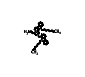 CCCCCCCCn1c2ccccc2c2ccnc(CN(CCCCN)Cc3nccc4c5ccccc5n(CCCCCCCC)c34)c21